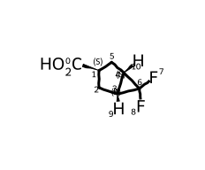 O=C(O)[C@@H]1C[C@@H]2[C@H](C1)C2(F)F